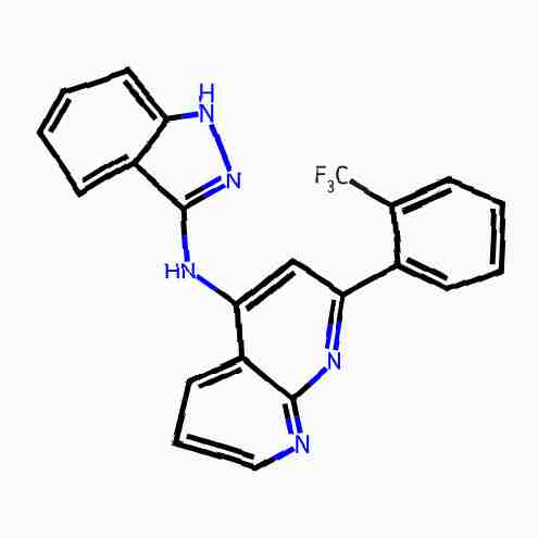 FC(F)(F)c1ccccc1-c1cc(Nc2n[nH]c3ccccc23)c2cccnc2n1